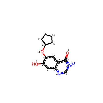 O=c1[nH]cnc2cc(O)c(OC3CCCC3)cc12